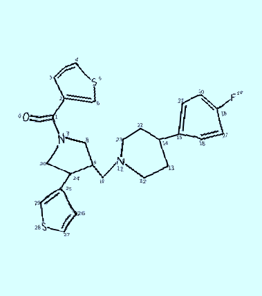 O=C(c1ccsc1)N1CC(CN2CCC(c3ccc(F)cc3)CC2)C(c2ccsc2)C1